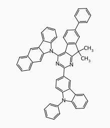 CC1(C)c2cc(-c3ccccc3)ccc2-c2c(-n3c4ccccc4c4cc5ccccc5cc43)nc(-c3ccc4c(c3)c3ccccc3n4-c3ccccc3)nc21